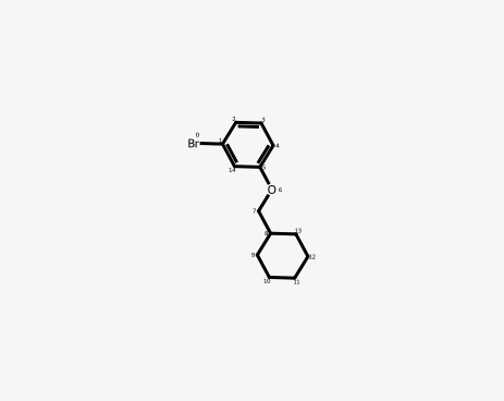 Brc1cccc(OCC2CCCCC2)c1